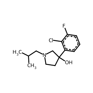 CC(C)CN1CCC(O)(c2cccc(F)c2Cl)C1